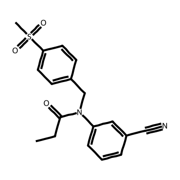 CCC(=O)N(Cc1ccc(S(C)(=O)=O)cc1)c1cccc(C#N)c1